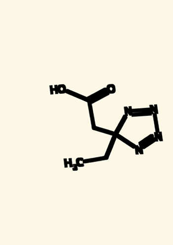 CCC1(CC(=O)O)N=NN=N1